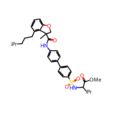 COC(=O)C(NS(=O)(=O)c1ccc(-c2ccc(NC(=O)C3(C)COc4cccc(CCCC(C)C)c43)cc2)cc1)C(C)C